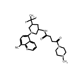 CN1CCN(C(=O)CCC(=O)NC2CC(C(C)(F)F)CN(c3ccc(C#N)c4ncccc34)C2)CC1